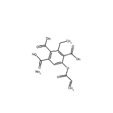 C=CC(=O)Oc1cc(C(=O)O)c(C(=O)O)c(CC)c1C(=O)O.N